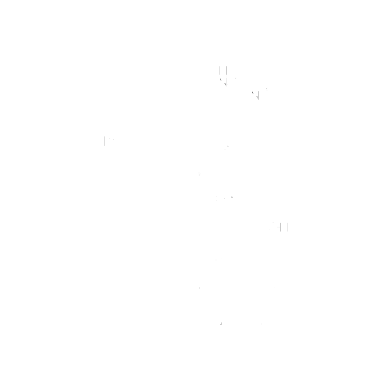 Oc1ccccc1COc1cc(Br)cc2[nH]ncc12